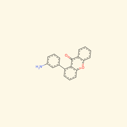 Nc1cccc(-c2cccc3oc4ccccc4c(=O)c23)c1